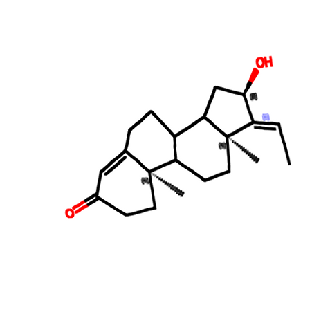 C/C=C1/[C@H](O)CC2C3CCC4=CC(=O)CC[C@]4(C)C3CC[C@]12C